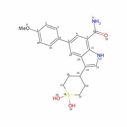 COc1ccc(-c2cc(C(N)=O)c3[nH]cc(C4CCS(O)(O)CC4)c3c2)cc1